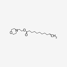 C=CCCCCCCCCC(=O)OCCN1CCOCC1